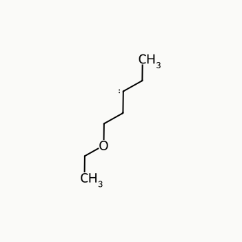 CC[C]CCOCC